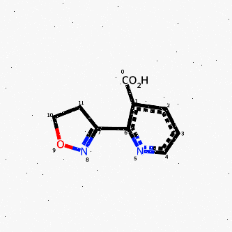 O=C(O)c1cccnc1C1=NOCC1